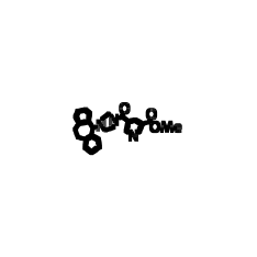 COC(=O)c1cncc(C(=O)N2CCN(C3c4ccccc4CCc4ccccc43)CC2)c1